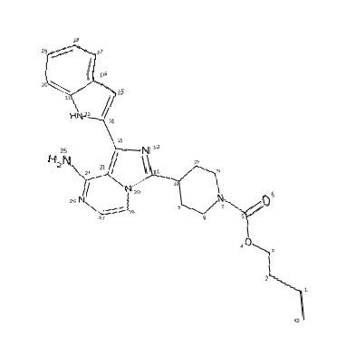 CCCCOC(=O)N1CCC(c2nc(-c3cc4ccccc4[nH]3)c3c(N)nccn23)CC1